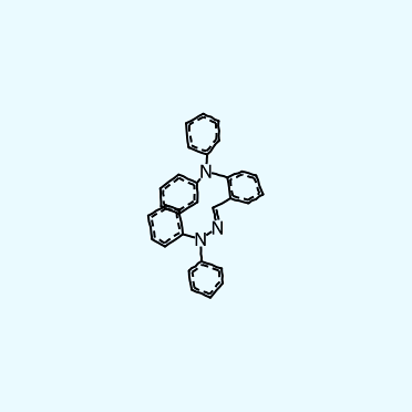 C(=N\N(c1ccccc1)c1ccccc1)/c1ccccc1N(c1ccccc1)c1ccccc1